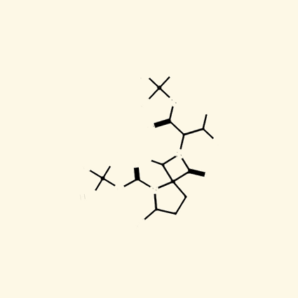 CC(O)C(C(=O)NC(C)(C)C)N1C(=O)C2(CCC(C)N2C(=O)OC(C)(C)C)C1C